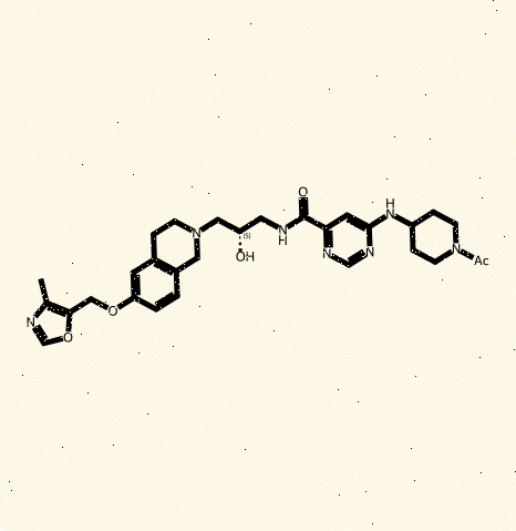 CC(=O)N1CCC(Nc2cc(C(=O)NC[C@H](O)CN3CCc4cc(OCc5ocnc5C)ccc4C3)ncn2)CC1